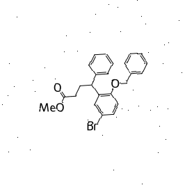 COC(=O)CCC(c1ccccc1)c1cc(Br)ccc1OCc1ccccc1